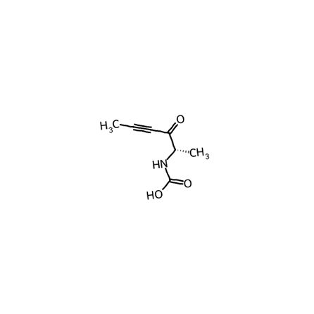 CC#CC(=O)[C@H](C)NC(=O)O